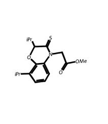 COC(=O)CN1C(=S)C(C(C)C)Oc2c(C(C)C)cccc21